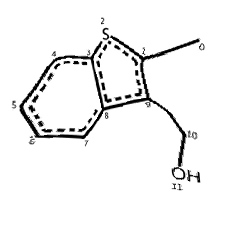 Cc1sc2cc[c]cc2c1CO